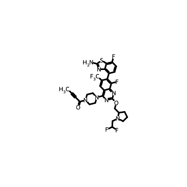 CC#CC(=O)N1CCN(c2nc(OCC3CCCN3CC(F)F)nc3c(F)c(-c4ccc(F)c5sc(N)nc45)c(C(F)(F)F)cc23)CC1